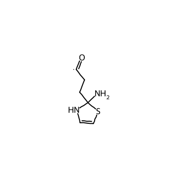 NC1(CC[C]=O)NC=CS1